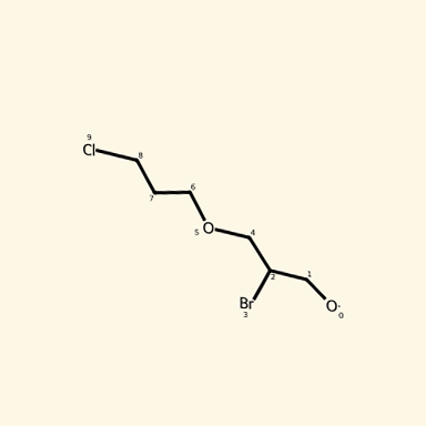 [O]CC(Br)COCCCCl